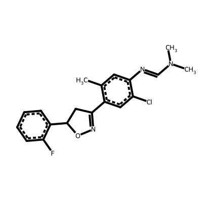 Cc1cc(N=CN(C)C)c(Cl)cc1C1=NOC(c2ccccc2F)C1